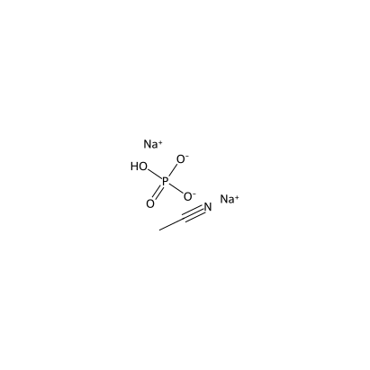 CC#N.O=P([O-])([O-])O.[Na+].[Na+]